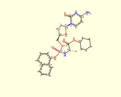 C[C@H](NP(=O)(OC[C@H]1OC[C@@H](n2ccc(N)nc2=O)O1)Oc1cccc2ccccc12)C(=O)OC1CCCCC1